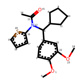 COc1ccc(C(C2CCCC2)N(C(C)=O)c2cccs2)cc1OC